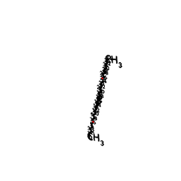 CCCCCCCCCCCCCCCCSCSCCCCCCCCCCCCCCCC